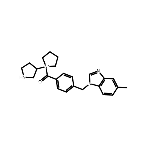 Cc1ccc2c(c1)ncn2Cc1ccc(C(=O)[N+]2(C3CCNC3)CCCC2)cc1